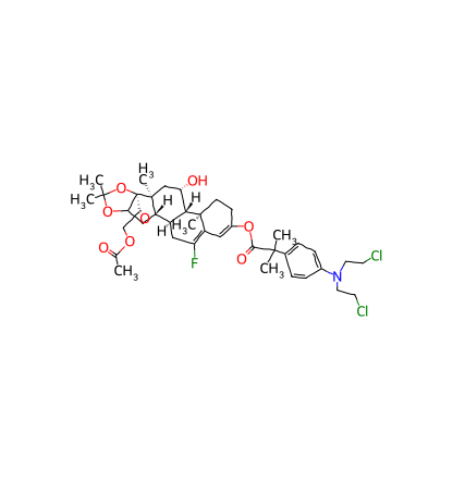 CC(=O)OCC(=O)[C@@]12OC(C)(C)OC1C[C@H]1[C@@H]3CC(F)=C4C=C(OC(=O)C(C)(C)c5ccc(N(CCCl)CCCl)cc5)CC[C@]4(C)[C@H]3[C@@H](O)C[C@@]12C